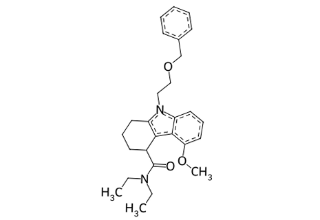 CCN(CC)C(=O)C1CCCc2c1c1c(OC)cccc1n2CCOCc1ccccc1